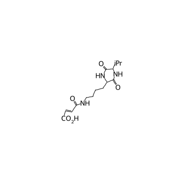 CC(C)C1NC(=O)C(CCCCNC(=O)C=CC(=O)O)NC1=O